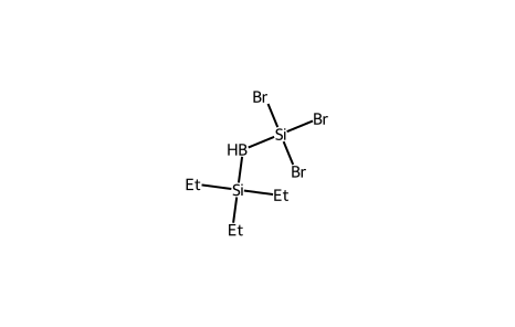 CC[Si](B[Si](Br)(Br)Br)(CC)CC